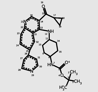 CC(C)(C)OC(=O)NC1CCC(Nc2c(C(=O)C3CC3)cnc3ccc(-c4ccncc4)cc23)CC1